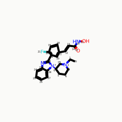 CCN1CCC[C@@H](n2c(-c3cc(/C=C/C(=O)NO)ccc3F)nc3ccccc32)C1